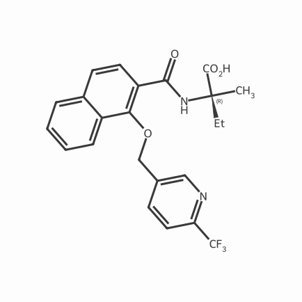 CC[C@@](C)(NC(=O)c1ccc2ccccc2c1OCc1ccc(C(F)(F)F)nc1)C(=O)O